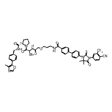 Cc1ncoc1-c1ccc(CNC(=O)[C@@H]2CCCN2C(=O)C(NC(=O)COCCCNC(=O)c2ccc(-c3ccc(N4C(=S)N(c5ccc(C#N)c(C(F)(F)F)c5)C(=O)C4(C)C)cc3)cc2)C(C)(C)C)cc1